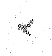 COc1ccccc1Oc1c(NS(=O)(=O)c2ccc(C(C)C)cn2)nc(-c2ccnc(OC(=O)OC(C)C)c2)nc1OC